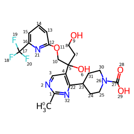 Cc1ncc(C(O)(CCO)COc2cccc(C(F)(F)F)n2)c(C2CCN(C(=O)O)CC2)n1